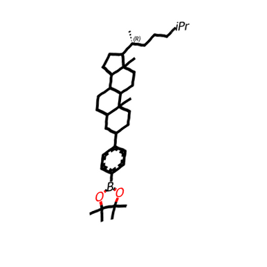 CC(C)CCC[C@@H](C)C1CCC2C3CCC4CC(c5ccc(B6OC(C)(C)C(C)(C)O6)cc5)CCC4(C)C3CCC21C